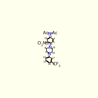 CC(=O)N(C(C)=O)c1ccc(N2CCN(c3cccc(C(F)(F)F)c3)CC2)c([N+](=O)[O-])c1